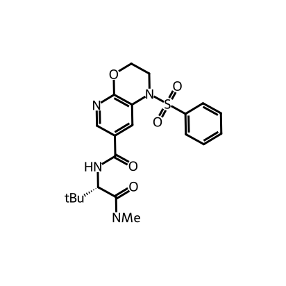 CNC(=O)[C@@H](NC(=O)c1cnc2c(c1)N(S(=O)(=O)c1ccccc1)CCO2)C(C)(C)C